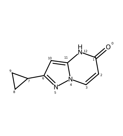 O=c1ccn2nc(C3CC3)cc2[nH]1